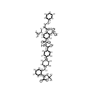 CN(C)CC[C@H](CSc1ccccc1)Nc1ccc(S(=O)(=O)NC(=O)c2ccc(N3CCN(Cc4ccccc4N4CC(C)(C)OC4=O)CC3)cc2)cc1[N+](=O)[O-]